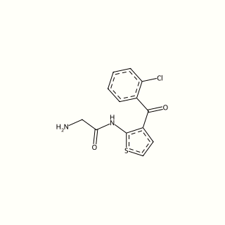 NCC(=O)Nc1sccc1C(=O)c1ccccc1Cl